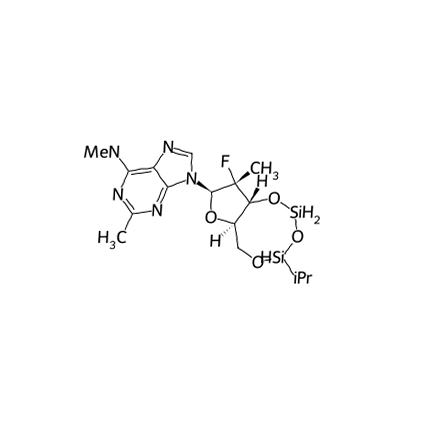 CNc1nc(C)nc2c1ncn2[C@@H]1O[C@@H]2CO[SiH](C(C)C)O[SiH2]O[C@H]2[C@@]1(C)F